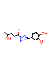 COc1cc(/C=N/NC(=O)CCC(C)O)ccc1O